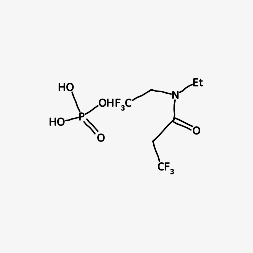 CCN(CC(F)(F)F)C(=O)CC(F)(F)F.O=P(O)(O)O